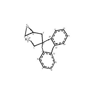 CCC1(CC2CO2)c2ccccc2-c2ccccc21